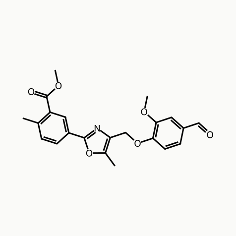 COC(=O)c1cc(-c2nc(COc3ccc(C=O)cc3OC)c(C)o2)ccc1C